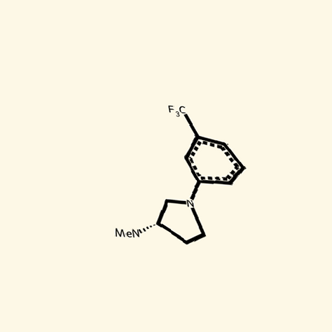 CN[C@H]1CCN(c2cc[c]c(C(F)(F)F)c2)C1